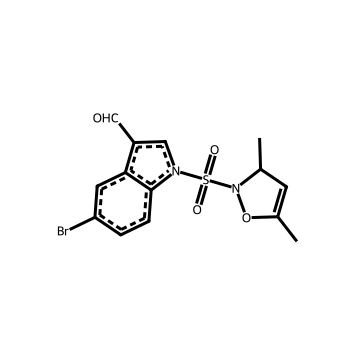 CC1=CC(C)N(S(=O)(=O)n2cc(C=O)c3cc(Br)ccc32)O1